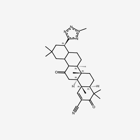 Cn1nnc([C@@H]2CC(C)(C)CC3C2CC[C@]2(C)C3C(=O)C[C@@H]3[C@@]4(C)C=C(C#N)C(=O)C(C)(C)[C@@H]4CC[C@]32C)n1